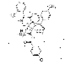 Cc1ccc(C(=O)O[C@@H](C(=O)O)[C@@](OC(=O)c2ccc(C)cc2)(C(=O)O)[C@]2(C)CNC(c3ccccc3C)c3ccccc32)cc1